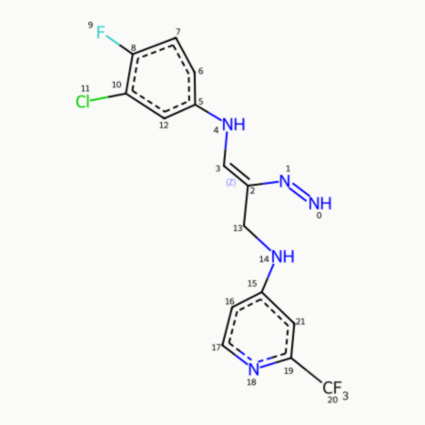 N=N/C(=C\Nc1ccc(F)c(Cl)c1)CNc1ccnc(C(F)(F)F)c1